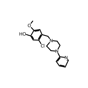 COc1cc(CN2CCN(c3ccccn3)CC2)c(Cl)cc1O